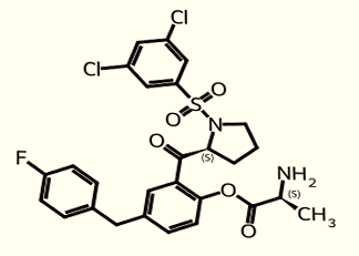 C[C@H](N)C(=O)Oc1ccc(Cc2ccc(F)cc2)cc1C(=O)[C@@H]1CCCN1S(=O)(=O)c1cc(Cl)cc(Cl)c1